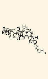 CCCCOC(=O)Nc1cc(CN2C(=O)N(c3ccc(OC(F)(F)F)cc3)C(=O)C2C)ccn1